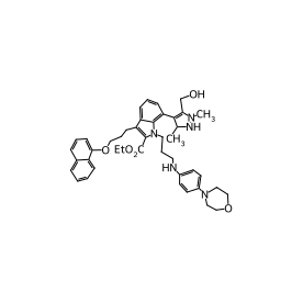 CCOC(=O)c1c(CCCOc2cccc3ccccc23)c2cccc(C3=C(CO)N(C)NC3C)c2n1CCCNc1ccc(N2CCOCC2)cc1